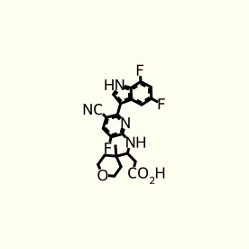 CC1(C(CC(=O)O)Nc2nc(-c3c[nH]c4c(F)cc(F)cc34)c(C#N)cc2F)CCOCC1